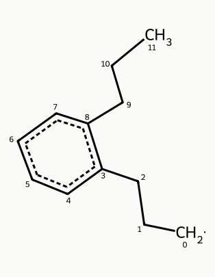 [CH2]CCc1ccccc1CCC